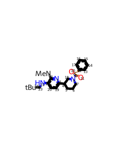 CNc1nc(C2CCCN(S(=O)(=O)c3ccccc3)C2)ccc1NCC(C)(C)C